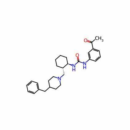 CC(=O)c1cccc(NC(=O)N[C@@H]2CCCC[C@H]2CN2CCC(Cc3ccccc3)CC2)c1